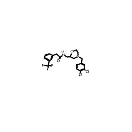 O=C(Cc1cccc(C(F)(F)F)c1)NCC1CN(Cc2ccc(Cl)c(Cl)c2)CCO1